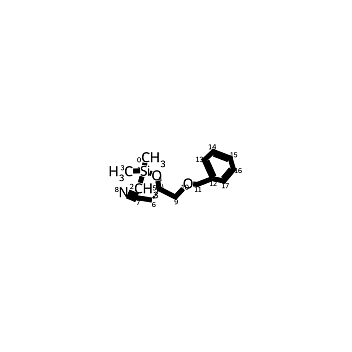 C[Si](C)(C)O[C@@H](CC#N)COCc1ccccc1